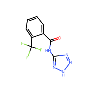 O=C(Nc1nn[nH]n1)c1ccccc1C(F)(F)F